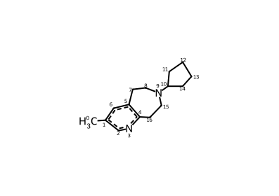 Cc1cnc2c(c1)CCN(C1CCCC1)CC2